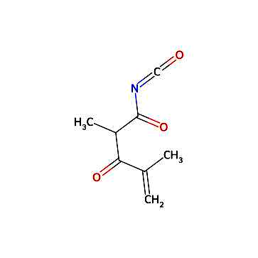 C=C(C)C(=O)C(C)C(=O)N=C=O